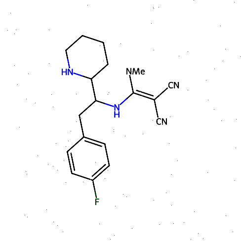 CNC(NC(Cc1ccc(F)cc1)C1CCCCN1)=C(C#N)C#N